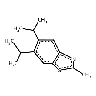 Cc1nc2cc(C(C)C)c(C(C)C)cc2s1